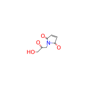 O=C(CO)CN1C(=O)C=CC1=O